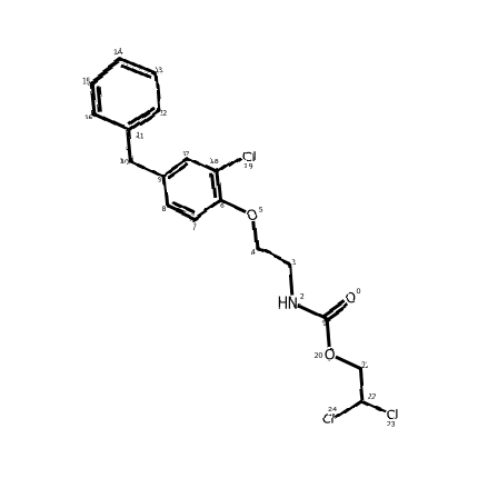 O=C(NCCOc1ccc(Cc2ccccc2)cc1Cl)OCC(Cl)Cl